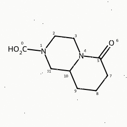 O=C(O)N1CCN2C(=O)CCCC2C1